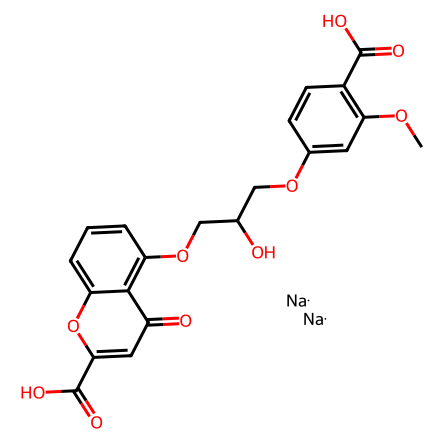 COc1cc(OCC(O)COc2cccc3oc(C(=O)O)cc(=O)c23)ccc1C(=O)O.[Na].[Na]